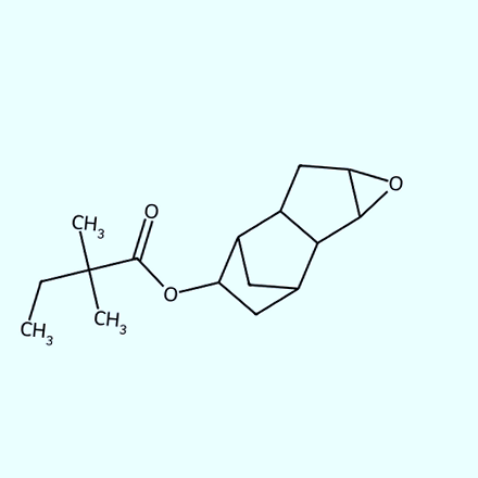 CCC(C)(C)C(=O)OC1CC2CC1C1CC3OC3C21